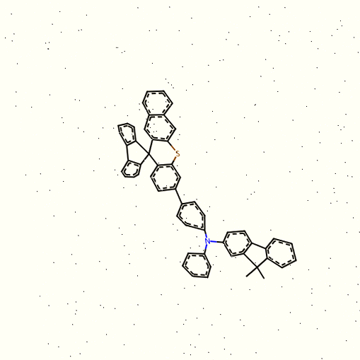 CC1(C)c2ccccc2-c2ccc(N(c3ccccc3)c3ccc(-c4ccc5c(c4)Sc4cc6ccccc6cc4C54c5ccccc5-c5ccccc54)cc3)cc21